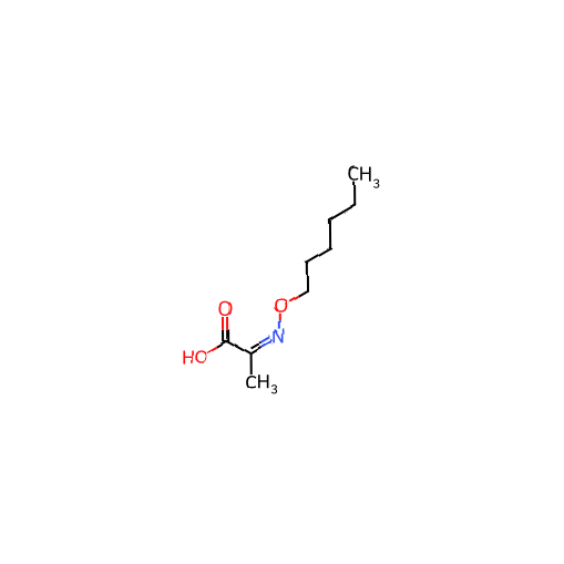 CCCCCCON=C(C)C(=O)O